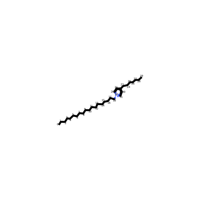 CCCCCCCCCCCCCCCCCCC[n+]1ccc(CCCCCCC)cc1